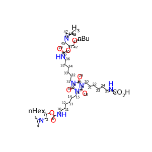 CCCCCCC(CN1CC1)OC(=O)NCCCCCCn1c(=O)n(CCCCCCNC(=O)O)c(=O)n(CCCCCCNC(=O)OC(COCCCC)CN2CC2C)c1=O